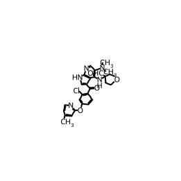 Cc1ccnc(Oc2ccc(C(=O)c3c[nH]c4ncc(N(C)C)c(NC5(C=O)CCOCC5)c34)c(Cl)c2)c1